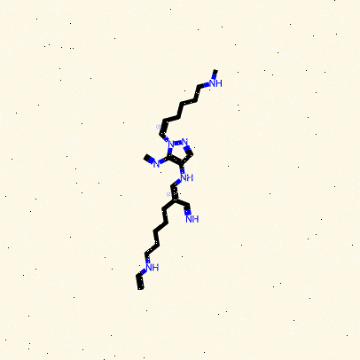 C=CNCCCCC/C(C=N)=C/Nc1cnn(/C=C\CCCCNC)c1N=C